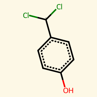 Oc1ccc([C](Cl)Cl)cc1